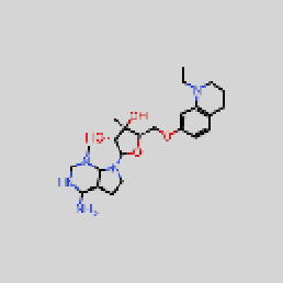 CCN1CCCc2ccc(OC[C@H]3O[C@@H](N4CCC5C(N)NCN(C)C54)[C@H](O)[C@]3(C)O)cc21